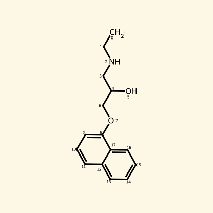 [CH2]CNCC(O)COc1cccc2ccccc12